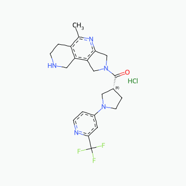 Cc1nc2c(c3c1CCNC3)CN(C(=O)[C@@H]1CCN(c3ccnc(C(F)(F)F)c3)C1)C2.Cl